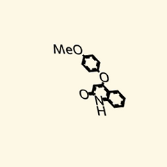 COc1ccc(Oc2cc(=O)[nH]c3ccccc23)cc1